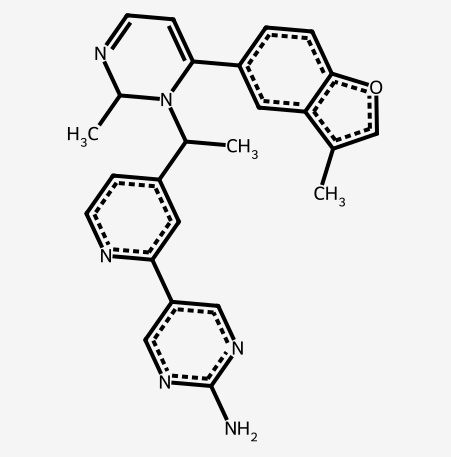 Cc1coc2ccc(C3=CC=NC(C)N3C(C)c3ccnc(-c4cnc(N)nc4)c3)cc12